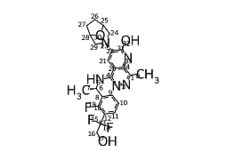 Cc1nnc(N[C@H](C)c2cccc(C(F)(F)CO)c2F)c2cc(N3CC4CCC(C3)O4)c(O)nc12